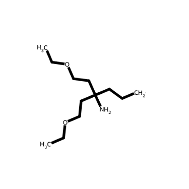 [CH2]CCC(N)(CCOCC)CCOCC